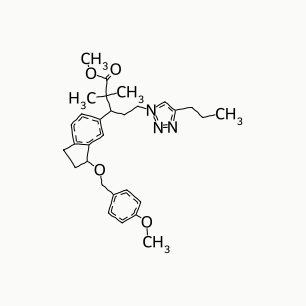 CCCc1cn(CCC(c2ccc3c(c2)C(OCc2ccc(OC)cc2)CC3)C(C)(C)C(=O)OC)nn1